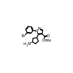 COC(=O)c1cnn(-c2cccc(Br)c2)c1C1CC[C@@H](N)C1